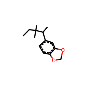 CCC(C)(C)C(C)c1ccc2c(c1)OCO2